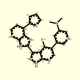 CN(C)c1cncc(-c2cnc3[nH]nc(-c4nc5c(-c6cccs6)ccnc5[nH]4)c3c2F)c1